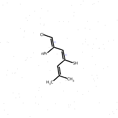 CCCC(/C=C(/S)C=C(C)C)=C\Cl